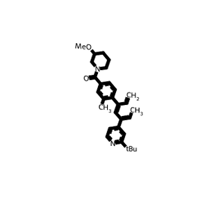 C=C/C(=C\C(=C/C)c1ccnc(C(C)(C)C)c1)c1ccc(C(=O)N2CCCC(OC)C2)cc1C